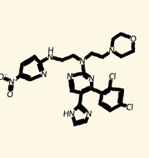 O=[N+]([O-])c1ccc(NCCN(CCN2CCOCC2)c2ncc(-c3ncc[nH]3)c(-c3ccc(Cl)cc3Cl)n2)nc1